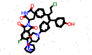 O=C1CCC(N2C(=O)c3cc(F)c(N4CC5CC(C4)N5CC4CCN(c5ccc(C(=C(CCCl)c6ccccc6)c6ccc(O)cc6)cc5)CC4)cc3C2=O)C(=O)N1